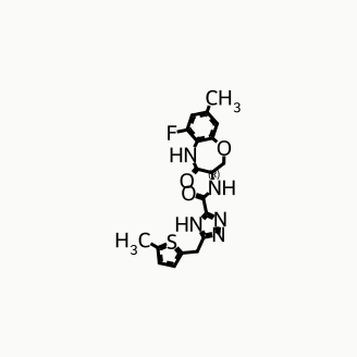 Cc1cc(F)c2c(c1)OC[C@@H](NC(=O)c1nnc(Cc3ccc(C)s3)[nH]1)C(=O)N2